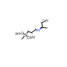 CO[Si](C)(CCCN=C(C)CC(C)C)OC